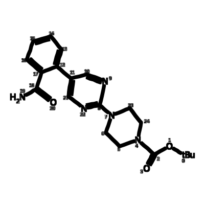 CC(C)(C)OC(=O)N1CCN(c2ncc(-c3ccccc3C(N)=O)cn2)CC1